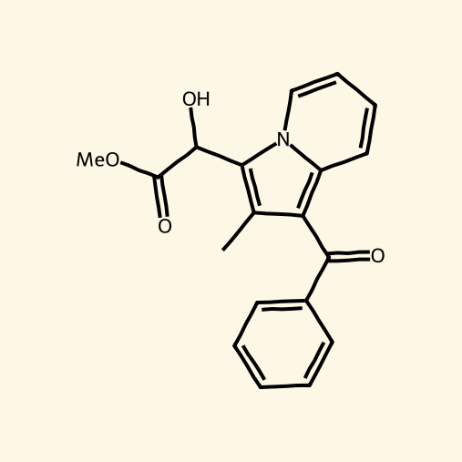 COC(=O)C(O)c1c(C)c(C(=O)c2ccccc2)c2ccccn12